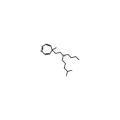 CCCCN(CCCC(C)C)CCC1(C)C=CC=NC=C1